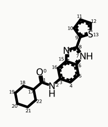 O=C(Nc1ccc2[nH]c(-c3cccs3)nc2c1)C1CCCCC1